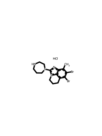 Cc1c(Br)c(Br)c2c3c1nc(N1CCCNCC1)n3CCC2.Cl